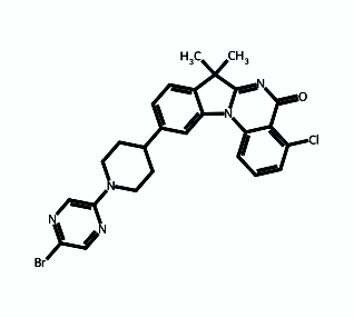 CC1(C)c2ccc(C3CCN(c4cnc(Br)cn4)CC3)cc2-n2c1nc(=O)c1c(Cl)cccc12